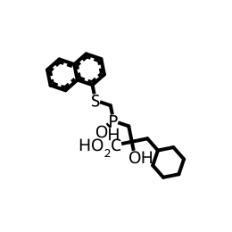 O=C(O)C(O)(CC1CCCCC1)C[PH](=O)CSc1cccc2ccccc12